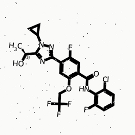 C[C@H](O)c1nc(-c2cc(OCC(F)(F)F)c(C(=O)Nc3c(F)cccc3Cl)cc2F)nn1C1CC1